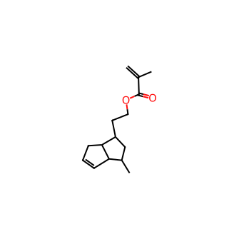 C=C(C)C(=O)OCCC1CC(C)C2C=CCC12